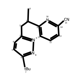 CC(Cc1ccc(C(C)(C)C)nn1)c1cccc(C#N)n1